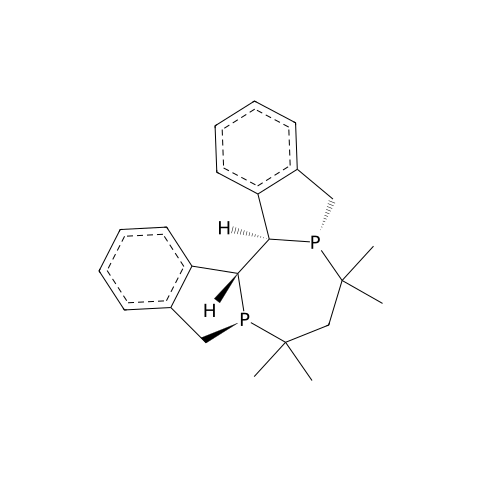 CC1(C)CC(C)(C)[P@@]2Cc3ccccc3[C@@H]2[C@H]2c3ccccc3C[P@@]21